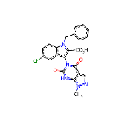 Cn1ncc2c(=O)n(-c3c(C(=O)O)n(Cc4ccccc4)c4ccc(Cl)cc34)c(=O)[nH]c21